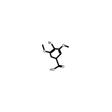 COC1=CC(C(=O)O)CC(OC)=C1Br